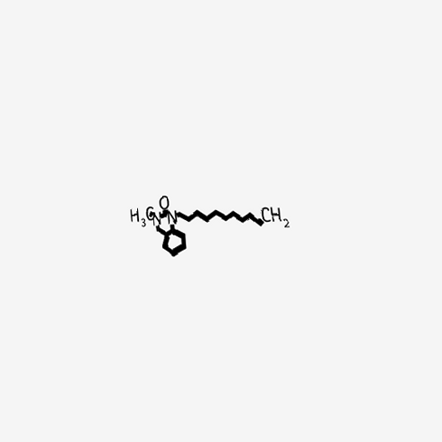 C=CCCCCCCCCCN1C(=O)N(C)Cc2ccccc21